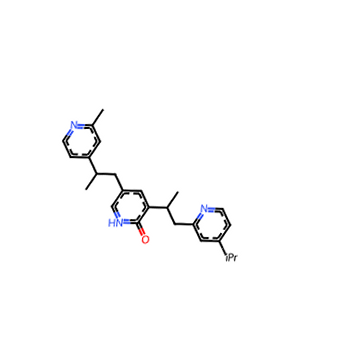 Cc1cc(C(C)Cc2c[nH]c(=O)c(C(C)Cc3cc(C(C)C)ccn3)c2)ccn1